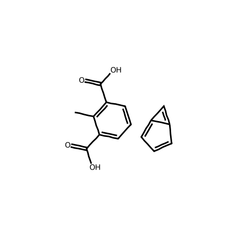 Cc1c(C(=O)O)cccc1C(=O)O.c1cc2cc-2c1